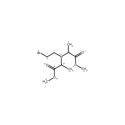 COC(=O)C(C)N(CCBr)C(C)C(=O)OC